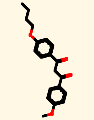 CCCCOc1ccc(C(=O)CC(=O)c2ccc(OC)cc2)cc1